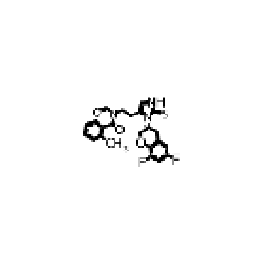 Cc1ccccc1C(=O)N(C=O)CCc1c[nH]c(=S)n1[C@H]1COc2c(F)cc(F)cc2C1